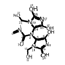 C=NC(=O)N(c1c(O)nc(O)n1CO)c1c(O)nc(O)n1CO